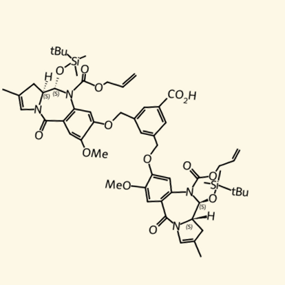 C=CCOC(=O)N1c2cc(OCc3cc(COc4cc5c(cc4OC)C(=O)N4C=C(C)C[C@H]4[C@H](O[Si](C)(C)C(C)(C)C)N5C(=O)OCC=C)cc(C(=O)O)c3)c(OC)cc2C(=O)N2C=C(C)C[C@H]2[C@@H]1O[Si](C)(C)C(C)(C)C